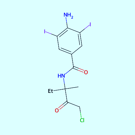 CCC(C)(NC(=O)c1cc(I)c(N)c(I)c1)C(=O)CCl